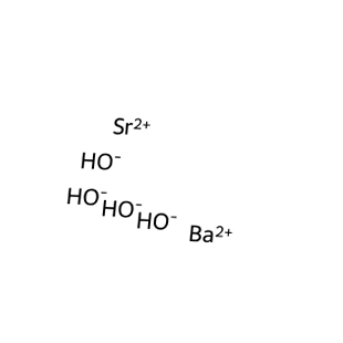 [Ba+2].[OH-].[OH-].[OH-].[OH-].[Sr+2]